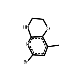 Cc1cc(Br)nc2c1OCCN2